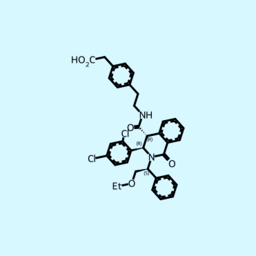 CCOC[C@H](c1ccccc1)N1C(=O)c2ccccc2[C@@H](C(=O)NCCc2ccc(CC(=O)O)cc2)[C@@H]1c1ccc(Cl)cc1Cl